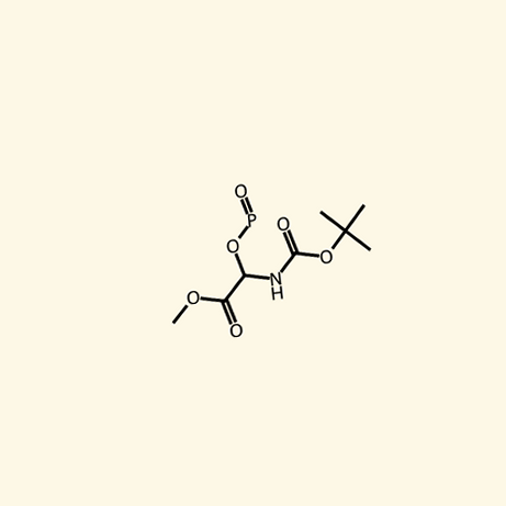 COC(=O)C(NC(=O)OC(C)(C)C)OP=O